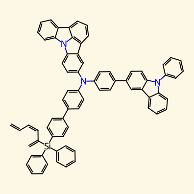 C=C/C=C\C(=C)[Si](c1ccccc1)(c1ccccc1)c1ccc(-c2ccc(N(c3ccc(-c4ccc5c(c4)c4ccccc4n5-c4ccccc4)cc3)c3ccc4c(c3)c3cccc5c6ccccc6n4c53)cc2)cc1